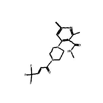 CNC(=O)c1c(N2CCN(C(=O)/C=C/C(F)(F)F)CC2)cc(C)nc1C